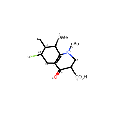 CCCCN1CC(C(=O)O)C(=O)C2=C1C(OC)C(C)C(F)C2